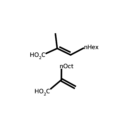 C=C(CCCCCCCC)C(=O)O.CCCCCCC=C(C)C(=O)O